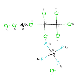 ClC(Cl)(Cl)C(Cl)(Cl)Cl.[Al+3].[Cl-].[Cl-].[Cl-].[F][Ge]([F])([F])[F]